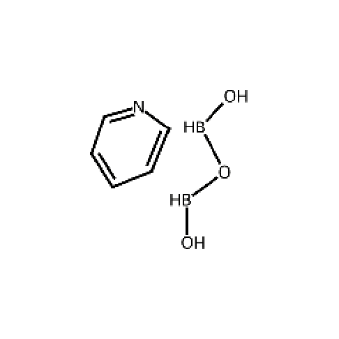 OBOBO.c1ccncc1